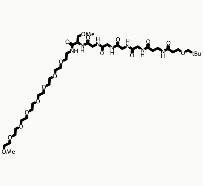 COCCOCCOCCOCCOCCOCCOCCOCCNC(=O)C(COC)NC(=O)CNC(=O)CNC(=O)CNC(=O)CNC(=O)CCNC(=O)CCOCC(C)(C)C